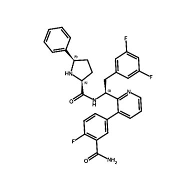 NC(=O)c1cc(-c2cccnc2[C@H](Cc2cc(F)cc(F)c2)NC(=O)[C@@H]2CC[C@H](c3ccccc3)N2)ccc1F